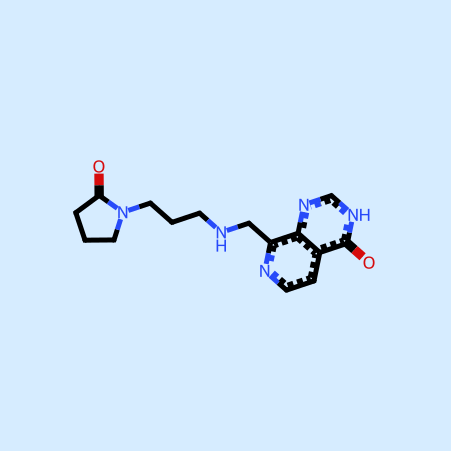 O=C1CCCN1CCCNCc1nccc2c(=O)[nH]cnc12